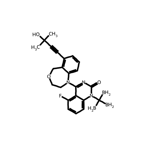 BC(B)(B)n1c(=O)nc(N2CCOCc3c(C#CC(C)(C)O)cccc32)c2c(F)cccc21